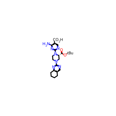 CC(C)(C)OC(=O)[C@@H]1CN(c2ncc3c(n2)CCCC3)CCN1c1ncc(C(=O)O)c(N)n1